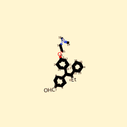 CC/C(=C(\c1ccc(C=O)cc1)c1ccc(OCCN(C)C)cc1)c1ccccc1